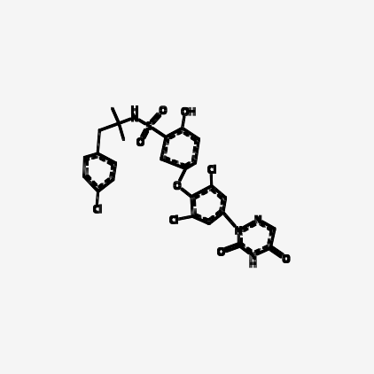 CC(C)(Cc1ccc(Cl)cc1)NS(=O)(=O)c1cc(Oc2c(Cl)cc(-n3ncc(=O)[nH]c3=O)cc2Cl)ccc1O